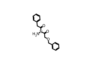 NN(C(=O)COCc1ccccc1)C(=O)Cc1ccccc1